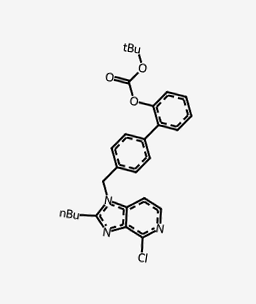 CCCCc1nc2c(Cl)nccc2n1Cc1ccc(-c2ccccc2OC(=O)OC(C)(C)C)cc1